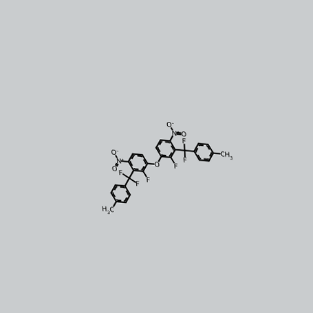 Cc1ccc(C(F)(F)c2c([N+](=O)[O-])ccc(Oc3ccc([N+](=O)[O-])c(C(F)(F)c4ccc(C)cc4)c3F)c2F)cc1